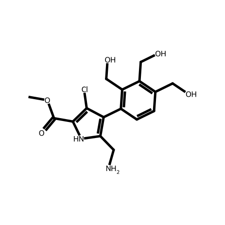 COC(=O)c1[nH]c(CN)c(-c2ccc(CO)c(CO)c2CO)c1Cl